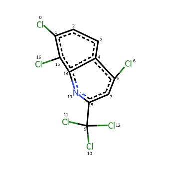 Clc1ccc2c(Cl)cc(C(Cl)(Cl)Cl)nc2c1Cl